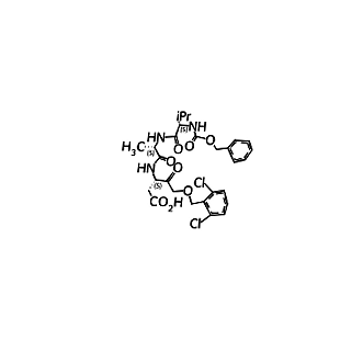 CC(C)[C@H](NC(=O)OCc1ccccc1)C(=O)N[C@@H](C)C(=O)N[C@@H](CC(=O)O)C(=O)COCc1c(Cl)cccc1Cl